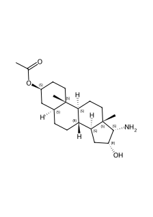 CC(=O)O[C@H]1CC[C@@]2(C)[C@@H](CC[C@@H]3[C@@H]2CC[C@]2(C)[C@H](N)[C@H](O)C[C@@H]32)C1